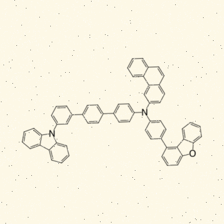 c1cc(-c2ccc(-c3ccc(N(c4ccc(-c5cccc6oc7ccccc7c56)cc4)c4ccc5ccc6ccccc6c5c4)cc3)cc2)cc(-n2c3ccccc3c3ccccc32)c1